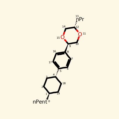 CCCCC[C@H]1CC[C@H](c2ccc([C@@H]3CO[C@@H](CCC)CO3)cc2)CC1